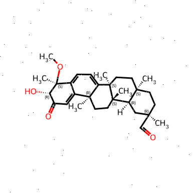 CO[C@@]1(C)C2=CC=C3[C@@](C)(CC[C@@]4(C)[C@@H]5C[C@](C)(C=O)CC[C@]5(C)CC[C@]34C)C2=CC(=O)[C@@H]1O